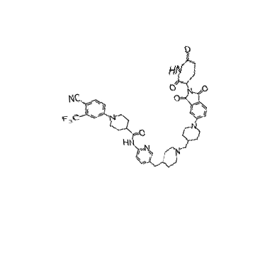 N#Cc1ccc(N2CCC(C(=O)Nc3ccc(CC4CCN(CC5CCN(c6ccc7c(c6)C(=O)N(C6CCC(=O)NC6=O)C7=O)CC5)CC4)cn3)CC2)cc1C(F)(F)F